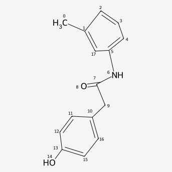 Cc1cccc(NC(=O)Cc2ccc(O)cc2)c1